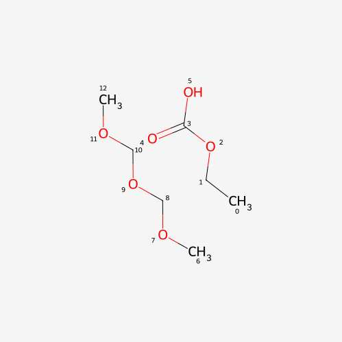 CCOC(=O)O.COCOCOC